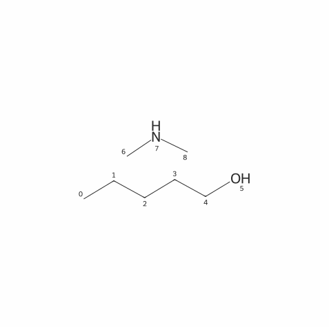 CCCCCO.CNC